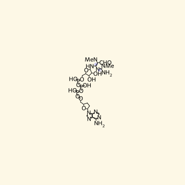 CN/C(N)=N\C(NC1OC(COP(O)OP(O)OP(O)OOCC2CCC(n3cnc4c(N)ncnc43)O2)C(O)C1O)=C(/C=O)NC